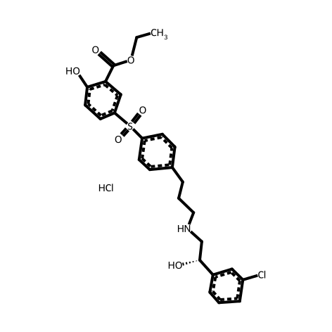 CCOC(=O)c1cc(S(=O)(=O)c2ccc(CCCNC[C@@H](O)c3cccc(Cl)c3)cc2)ccc1O.Cl